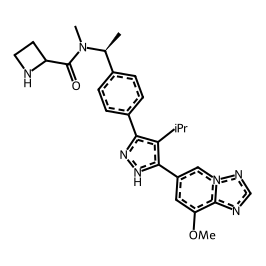 COc1cc(-c2[nH]nc(-c3ccc([C@H](C)N(C)C(=O)C4CCN4)cc3)c2C(C)C)cn2ncnc12